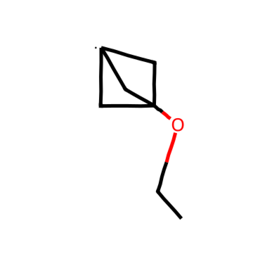 CCOC12C[C](C1)C2